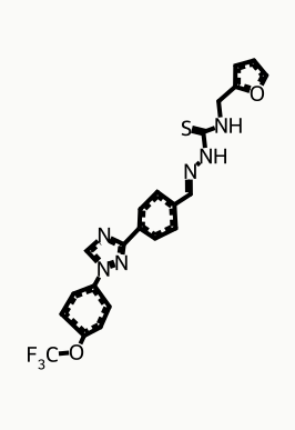 FC(F)(F)Oc1ccc(-n2cnc(-c3ccc(/C=N/NC(=S)NCc4ccco4)cc3)n2)cc1